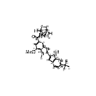 CCn1c(-c2nc3cc(C(=O)N4C[C@H]5CC[C@@H]4[C@@H]5N)cc(OC)c3n2C)cc2ccc(C(C)(F)F)nc21